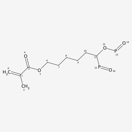 C=C(C)C(=O)OCCCCCC(OP=O)P=O